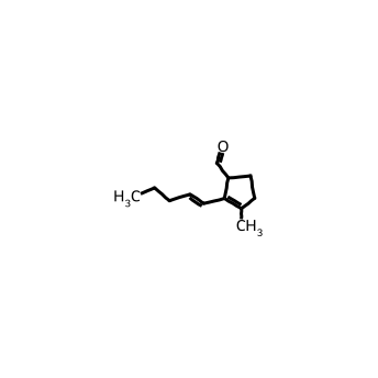 CCCC=CC1=C(C)CCC1C=O